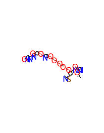 Cc1ncsc1-c1ccc(CNC(=O)[C@@H]2CCCN2C(=O)CC(C)C)c(OCCOCCOCCOCCOc2ccc(COc3ccc4oc(-c5ccc(=O)n(C)n5)nc4c3)nc2)c1